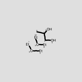 CC(O)CO.CCOCC.CCOCC